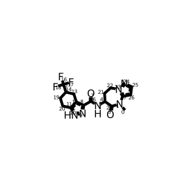 CN1C(=O)C(NC(=O)c2n[nH]c3c2CC(C(F)(F)F)CC3)CCn2nccc21